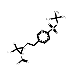 CC(C)(C)NS(=O)(=O)c1ccc(CC[C@H]2[C@H](C(=O)O)C2(C)C)cn1